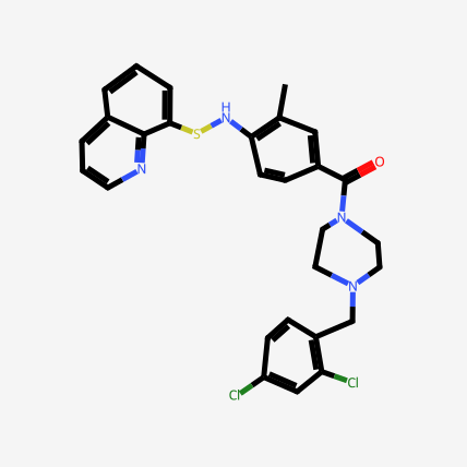 Cc1cc(C(=O)N2CCN(Cc3ccc(Cl)cc3Cl)CC2)ccc1NSc1cccc2cccnc12